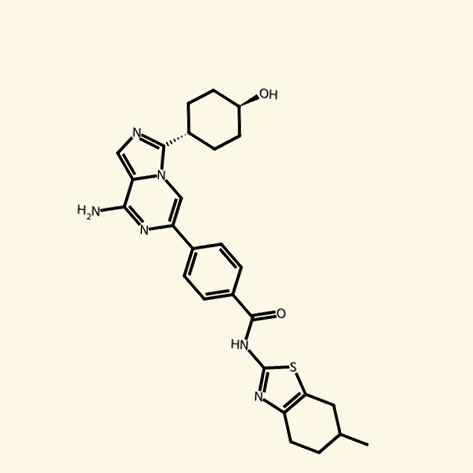 CC1CCc2nc(NC(=O)c3ccc(-c4cn5c(cnc5[C@H]5CC[C@H](O)CC5)c(N)n4)cc3)sc2C1